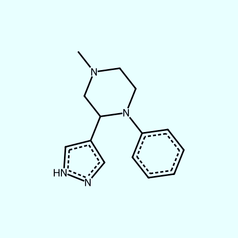 CN1CCN(c2ccccc2)C(c2cn[nH]c2)C1